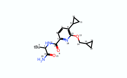 CC(C)(C)C(NC(=O)c1ccc(C2CC2)c(OCC2CC2)n1)C(N)=O